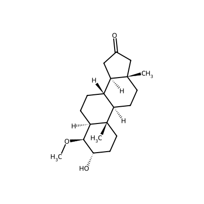 CO[C@H]1[C@H]2CC[C@@H]3[C@H]4CC(=O)C[C@]4(C)CC[C@H]3[C@]2(C)CC[C@@H]1O